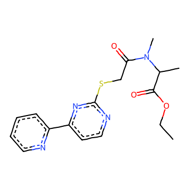 CCOC(=O)C(C)N(C)C(=O)CSc1nccc(-c2ccccn2)n1